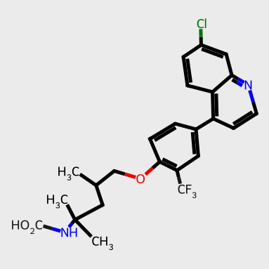 CC(COc1ccc(-c2ccnc3cc(Cl)ccc23)cc1C(F)(F)F)CC(C)(C)NC(=O)O